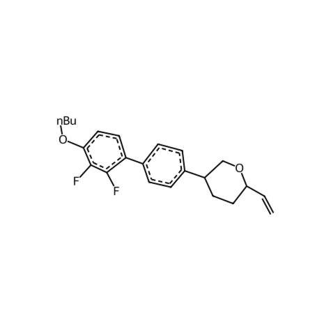 C=CC1CCC(c2ccc(-c3ccc(OCCCC)c(F)c3F)cc2)CO1